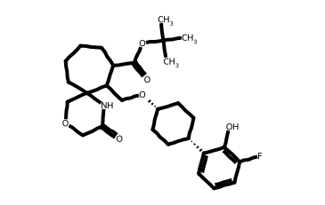 CC(C)(C)OC(=O)C1CCCCC2(COCC(=O)N2)C1CO[C@H]1CC[C@@H](c2cccc(F)c2O)CC1